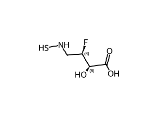 O=C(O)[C@@H](O)[C@H](F)CNS